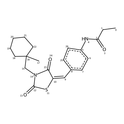 CCC(=O)Nc1ccc(C=C2SC(=O)N(CC3(C)CCCCC3)C2=O)cc1